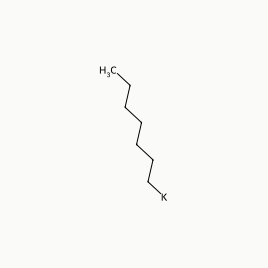 CCCCCC[CH2][K]